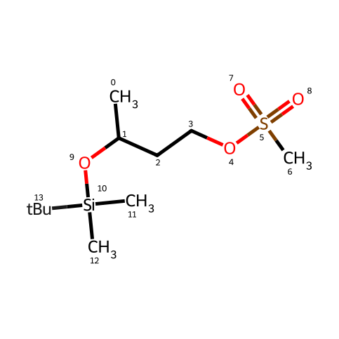 CC(CCOS(C)(=O)=O)O[Si](C)(C)C(C)(C)C